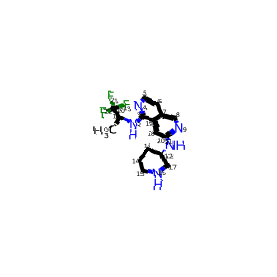 CC(Nc1nccc2cnc(N[C@H]3CCCNC3)cc12)C(F)(F)F